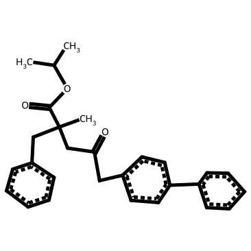 CC(C)OC(=O)C(C)(CC(=O)Cc1ccc(-c2ccccc2)cc1)Cc1ccccc1